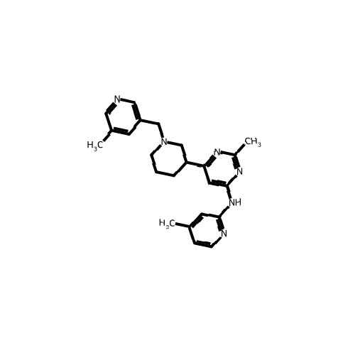 Cc1cncc(CN2CCCC(c3cc(Nc4cc(C)ccn4)nc(C)n3)C2)c1